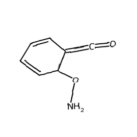 NOC1C=CC=CC1=C=O